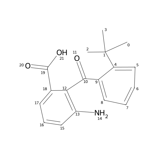 CC(C)(C)c1ccccc1C(=O)c1c(N)cccc1C(=O)O